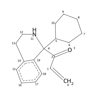 C=CC(=O)C1(C2CCCCC2)NCCc2ccccc21